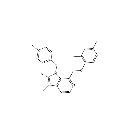 Cc1ccc(Cn2c(C)c(C)c3ccnc(COc4ccc(C)cc4C)c32)cc1